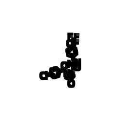 O=C1C[C@@H](c2nc(-c3ccc(OC(F)(F)F)cc3)no2)N(C(=O)c2ccc(Cl)cc2)C1